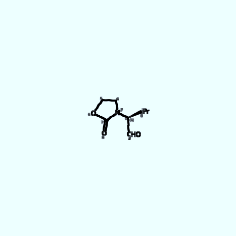 CC(C)[C@@H](C=O)N1CCOC1=O